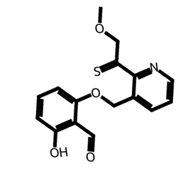 COCC(=S)c1ncccc1COc1cccc(O)c1C=O